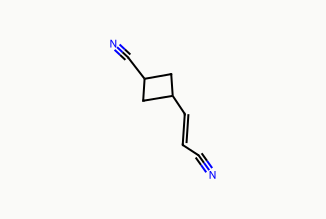 N#CC=CC1CC(C#N)C1